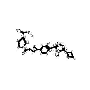 NC(=O)[C@H]1CCN(C(=O)N2CC(c3ccc(-c4nnc(C5CCC5)[nH]4)cc3)C2)C1